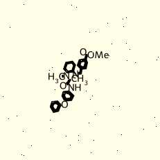 COC(=O)c1ccc(CN(C)[C@@H]2CCCC[C@H]2N(C)CC(=O)Nc2ccc(Oc3ccccc3)cc2)cc1